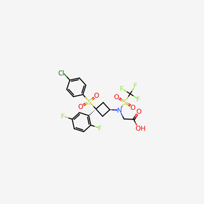 O=C(O)CN([C@H]1C[C@@](c2cc(F)ccc2F)(S(=O)(=O)c2ccc(Cl)cc2)C1)S(=O)(=O)C(F)(F)F